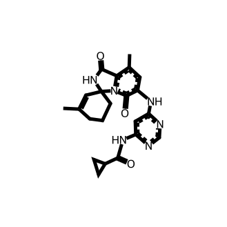 CC1=CC2(CCC1)NC(=O)c1c(C)cc(Nc3cc(NC(=O)C4CC4)ncn3)c(=O)n12